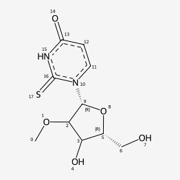 COC1C(O)[C@@H](CO)O[C@H]1n1ccc(=O)[nH]c1=S